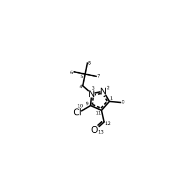 Cc1nn(CC(C)(C)C)c(Cl)c1C=O